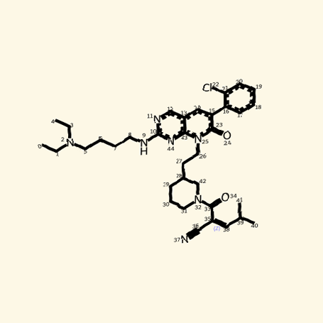 CCN(CC)CCCCNc1ncc2cc(-c3ccccc3Cl)c(=O)n(CCC3CCCN(C(=O)/C(C#N)=C\C(C)C)C3)c2n1